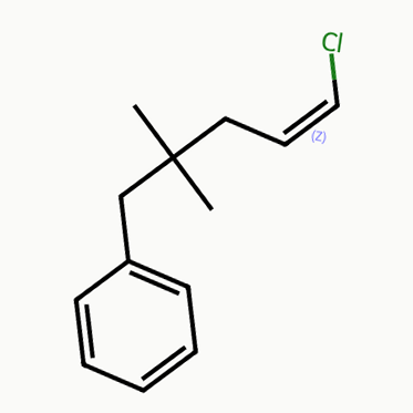 CC(C)(C/C=C\Cl)Cc1ccccc1